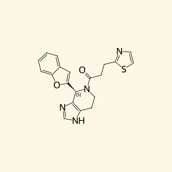 O=C(CCc1nccs1)N1CCc2[nH]cnc2[C@H]1c1cc2ccccc2o1